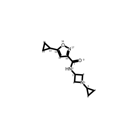 O=C(NC1CN(C2CC2)C1)c1cc(C2CC2)on1